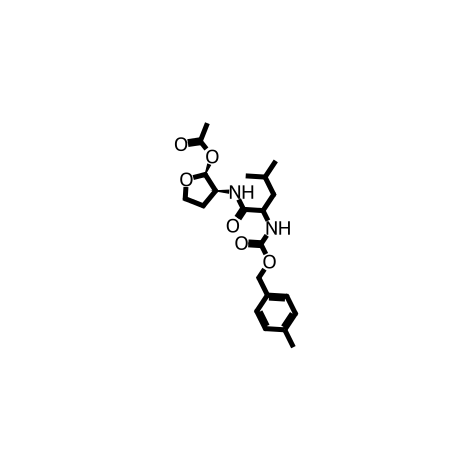 CC(=O)O[C@@H]1OCC[C@@H]1NC(=O)C(CC(C)C)NC(=O)OCc1ccc(C)cc1